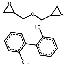 C(OCC1CO1)C1CO1.Cc1ccccc1-c1ccccc1C